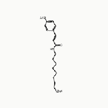 CCCCCCCCCCCCCCCCCCNC(=O)/C=C/c1ccc(OC(C)=O)cc1